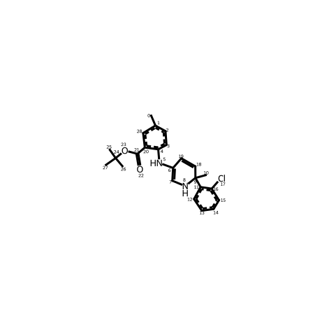 Cc1ccc(NC2=CNC(C)(c3ccccc3Cl)C=C2)c(C(=O)OC(C)(C)C)c1